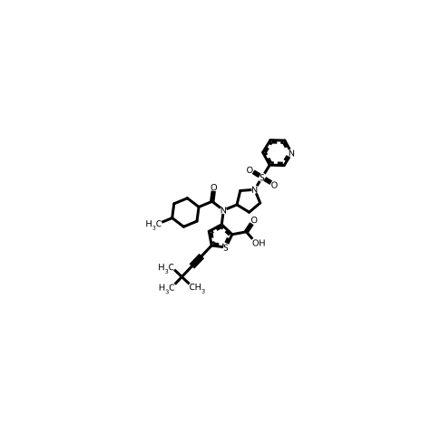 CC1CCC(C(=O)N(c2cc(C#CC(C)(C)C)sc2C(=O)O)C2CCN(S(=O)(=O)c3cccnc3)C2)CC1